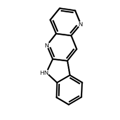 c1cnc2cc3c(nc2c1)[nH]c1ccccc13